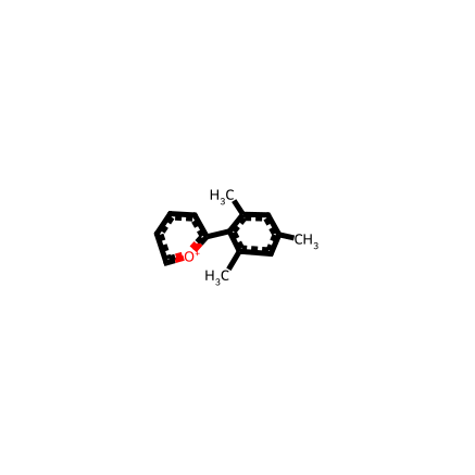 Cc1cc(C)c(-c2cccc[o+]2)c(C)c1